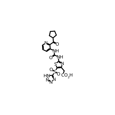 O=C(O)Cc1nc(NC(=O)Nc2cccnc2C(=O)C2CCCC2)sc1S(=O)(=O)c1nnn[nH]1